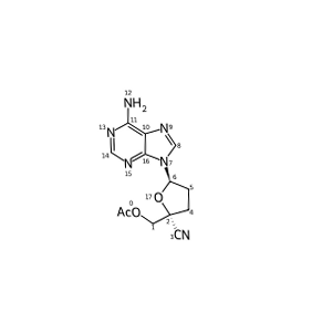 CC(=O)OC[C@]1(C#N)CC[C@H](n2cnc3c(N)ncnc32)O1